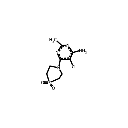 Cc1nc(N)c(Cl)c(N2CCS(=O)(=O)CC2)n1